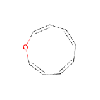 c1ccccoccc1